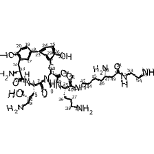 CN1C(=O)[C@H](C[C@@H](O)CN)NC(=O)[C@@H](N)Cc2cc(ccc2O)-c2ccc(O)c(c2)C[C@H]1C(=O)N[C@@H](CCCN)C(=O)NCCCC[C@H](N)CC(=O)NCCN